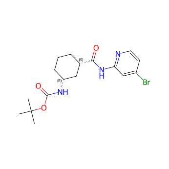 CC(C)(C)OC(=O)N[C@@H]1CCC[C@H](C(=O)Nc2cc(Br)ccn2)C1